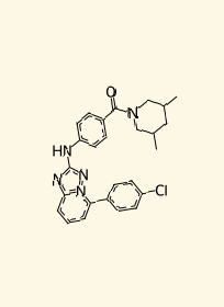 CC1CC(C)CN(C(=O)c2ccc(Nc3nc4cccc(-c5ccc(Cl)cc5)n4n3)cc2)C1